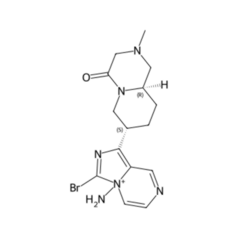 CN1CC(=O)N2C[C@@H](C3=C4C=NC=C[N+]4(N)C(Br)=N3)CC[C@@H]2C1